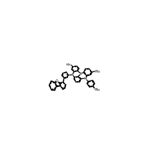 CC(C)(C)c1ccc(N2c3cc(C(C)(C)C)ccc3B3c4ccc(C(C)(C)C)cc4N(c4cccc(-c5cccc6c5oc5ccccc56)c4)c4cccc2c43)cc1